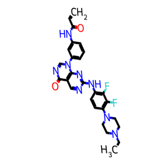 C=CC(=O)Nc1cccc(-n2cnc(=O)c3cnc(Nc4ccc(N5CCN(CC)CC5)c(F)c4F)nc32)c1